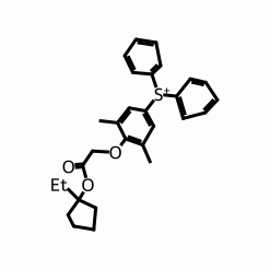 CCC1(OC(=O)COc2c(C)cc([S+](c3ccccc3)c3ccccc3)cc2C)CCCC1